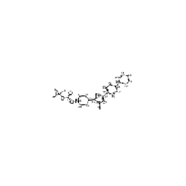 CC(C)(C)OC(=O)ON1CCC(c2nc(-c3ccc(-c4ccccc4)cc3)c[nH]2)CC1